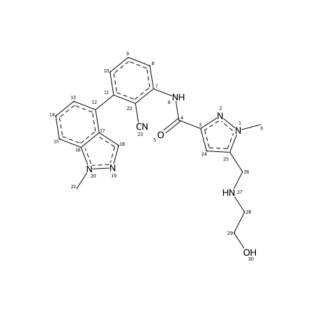 Cn1nc(C(=O)Nc2cccc(-c3cccc4c3cnn4C)c2C#N)cc1CNCCO